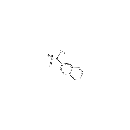 CN(c1ccc2ccccc2c1)[SH](=O)=O